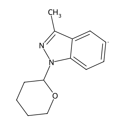 Cc1nn(C2CCCCO2)c2cc[c]cc12